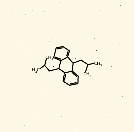 CC(C)CC1c2ccccc2C(CC(C)C)c2ccccc21